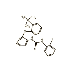 CC(C)(C)c1ccccc1Oc1ncccc1NC(=O)Nc1ccccc1F